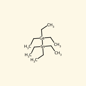 C[CH2][Ge]([CH2]C)([CH2]C)[Sn]([CH2]C)([CH2]C)[CH2]C